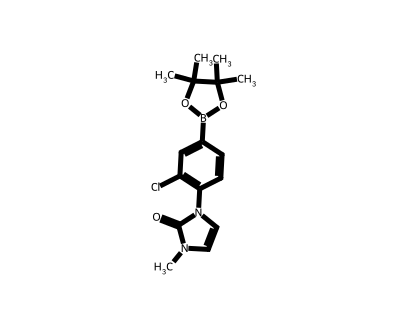 Cn1ccn(-c2ccc(B3OC(C)(C)C(C)(C)O3)cc2Cl)c1=O